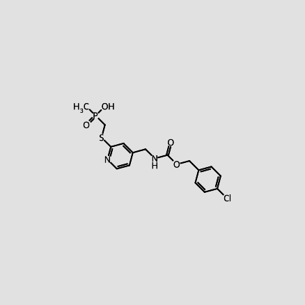 CP(=O)(O)CSc1cc(CNC(=O)OCc2ccc(Cl)cc2)ccn1